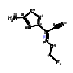 N#C/C(=N\OCF)c1nsc(N)n1